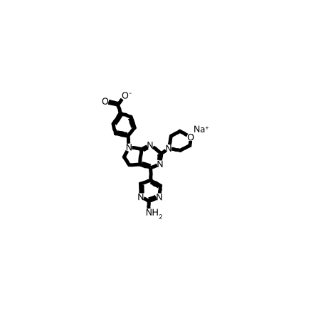 Nc1ncc(-c2nc(N3CCOCC3)nc3c2CCN3c2ccc(C(=O)[O-])cc2)cn1.[Na+]